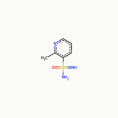 Cc1ncccc1S(=N)(N)=O